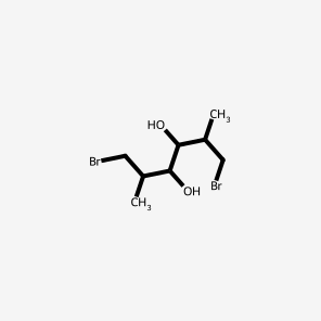 CC(CBr)C(O)C(O)C(C)CBr